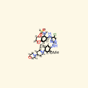 CCc1cc(Nc2ncc(Cl)c(Nc3ccc4c(c3N(C)S(C)(=O)=O)OCCO4)n2)c(OC)cc1N1CCC(N2CCOCC2)CC1